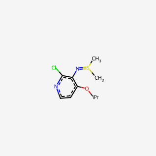 CC(C)Oc1ccnc(Cl)c1N=S(C)C